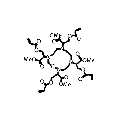 C=CC(=O)OCC(C(=O)OC)N1CCN(C(COC(=O)C=C)C(=O)OC)CCN(C(COC(=O)C=C)C(=O)OC)CCN(C(COC(=O)C=C)C(=O)OC)CC1